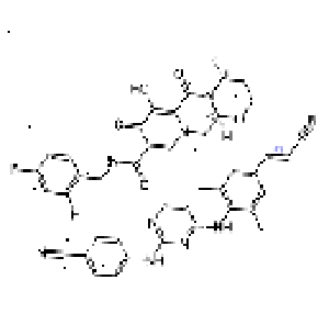 C[C@@H]1CCO[C@H]2Cn3cc(C(=O)NCc4ccc(F)cc4F)c(=O)c(O)c3C(=O)N12.Cc1cc(/C=C/C#N)cc(C)c1Nc1ccnc(Nc2ccc(C#N)cc2)n1